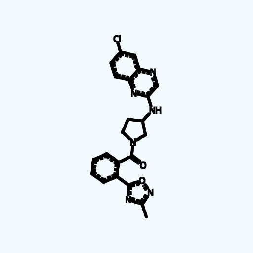 Cc1noc(-c2ccccc2C(=O)N2CCC(Nc3cnc4cc(Cl)ccc4n3)C2)n1